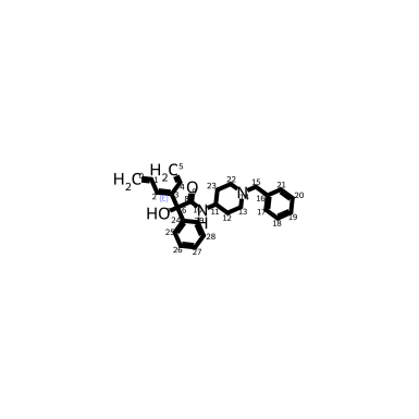 C=C/C=C(\C=C)C(O)(C(=O)NC1CCN(Cc2ccccc2)CC1)c1ccccc1